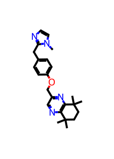 Cn1ccnc1Cc1ccc(OCc2cnc3c(n2)C(C)(C)CCC3(C)C)cc1